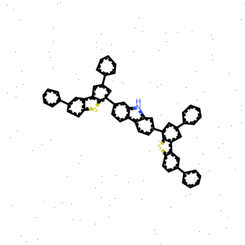 c1ccc(-c2ccc3sc4c(-c5ccc6c(c5)[nH]c5cc(-c7cc(-c8ccccc8)cc8c7sc7ccc(-c9ccccc9)cc78)ccc56)cc(-c5ccccc5)cc4c3c2)cc1